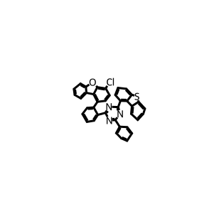 Clc1ccc(-c2ccccc2-c2nc(-c3ccccc3)nc(-c3cccc4sc5ccccc5c34)n2)c2c1oc1ccccc12